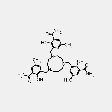 Cc1cc(CN2CCCN(Cc3cc(C)cc(C(N)=O)c3O)CCN(Cc3cc(C)cc(C(N)=O)c3O)CC2)c(O)c(C(N)=O)c1